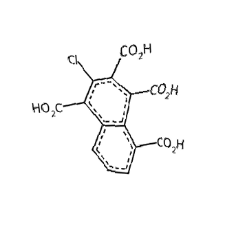 O=C(O)c1c(Cl)c(C(=O)O)c2cccc(C(=O)O)c2c1C(=O)O